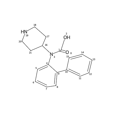 O=C(O)N(c1ccccc1-c1ccccc1)C1CCNCC1